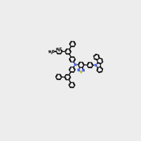 C=C/C=C\C(=C)c1cc(-c2ccccc2)cc(-c2ccc(N(c3ccc(-c4cc(-c5ccccc5)cc(-c5ccccc5)c4)cc3)c3ccc(-c4ccc(-n5c6ccccc6c6ccc7ccccc7c65)cc4)c4nsnc34)cc2)c1